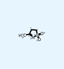 CC1=NS(=O)(=O)CC1